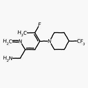 C=N/C(=C\C(=C(/C)F)N1CCC(C(F)(F)F)CC1)CN